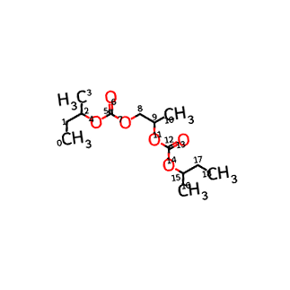 CCC(C)OC(=O)OCC(C)OC(=O)OC(C)CC